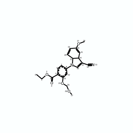 CCOC(=O)c1ccc(N2C=C(C#N)C3C=C(OC)C=CC32)cc1OCOC